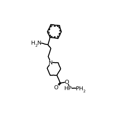 NC(CCN1CCC(C(=O)OPP)CC1)c1ccccc1